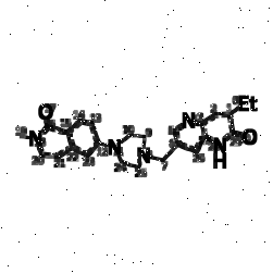 CCc1cc2ncc(CN3CCN(c4ccc5c(=O)n(C)ccc5c4)CC3)cc2[nH]c1=O